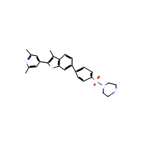 Cc1cc(-c2[nH]c3cc(-c4ccc(S(=O)(=O)N5CCNCC5)cc4)ccc3c2C)cc(C)n1